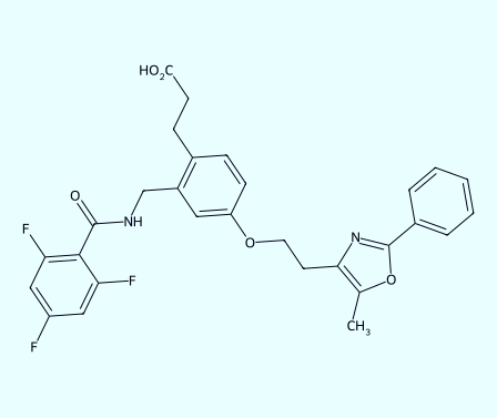 Cc1oc(-c2ccccc2)nc1CCOc1ccc(CCC(=O)O)c(CNC(=O)c2c(F)cc(F)cc2F)c1